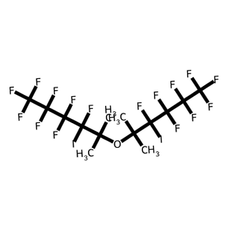 CC(C)(OC(C)(C)C(F)(I)C(F)(F)C(F)(F)C(F)(F)F)C(F)(I)C(F)(F)C(F)(F)C(F)(F)F